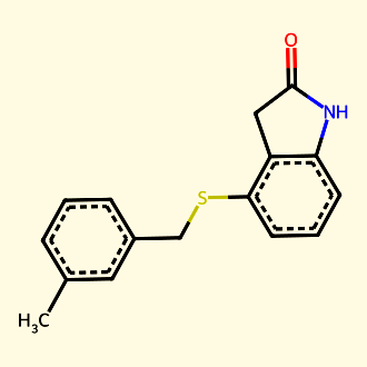 Cc1cccc(CSc2cccc3c2CC(=O)N3)c1